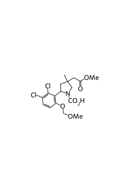 COCOc1ccc(Cl)c(Cl)c1C1CC(C)(CC(=O)OC)CN1C(=O)O